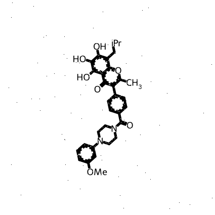 COc1cccc(N2CCN(C(=O)c3ccc(-c4c(C)oc5c(CC(C)C)c(O)c(O)c(O)c5c4=O)cc3)CC2)c1